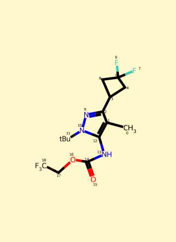 Cc1c(C2CC(F)(F)C2)nn(C(C)(C)C)c1NC(=O)OCC(F)(F)F